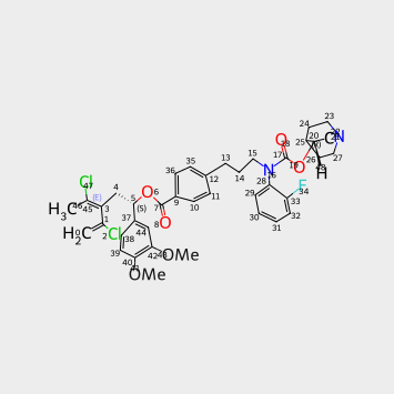 C=C(Cl)/C(C[C@H](OC(=O)c1ccc(CCCN(C(=O)O[C@H]2CN3CCC2CC3)c2ccccc2F)cc1)c1ccc(OC)c(OC)c1)=C(\C)Cl